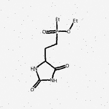 CCOP(=O)(CC)CCC1NC(=O)NC1=O